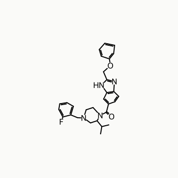 CC(C)C1CN(Cc2ccccc2F)CCN1C(=O)c1ccc2nc(COc3ccccc3)[nH]c2c1